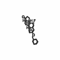 O=C1CC[C@H]2[C@H]3[C@H](CC[C@H]12)[C@H]1C=CC(OCc2ccccc2)=CC1=C[C@H]3F